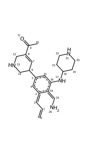 C=C/C=c1/cc(C2C=C(C(C)=O)CNC2)cc(NC2CCNCC2)/c1=C/N